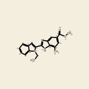 CCn1c(-c2nc3cc(C(=O)OC)cc(C)c3[nH]2)cc2ccccc21